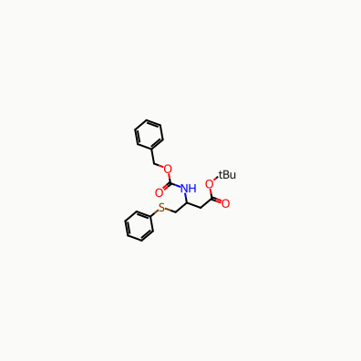 CC(C)(C)OC(=O)CC(CSc1ccccc1)NC(=O)OCc1ccccc1